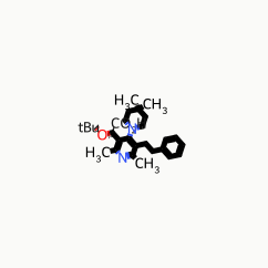 Cc1nc(C)c([C@H](OC(C)(C)C)C(=O)O)c(N2CCC(C)(C)CC2)c1CCc1ccccc1